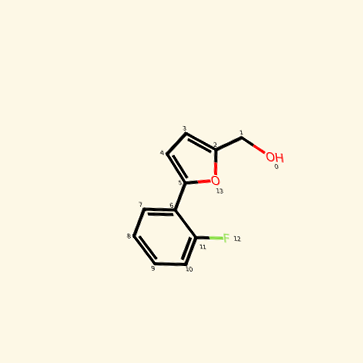 OCc1ccc(-c2ccccc2F)o1